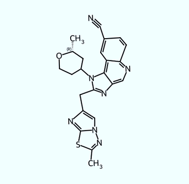 Cc1nn2cc(Cc3nc4cnc5ccc(C#N)cc5c4n3C3CCO[C@H](C)C3)nc2s1